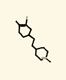 CC1=C(F)CC(CCC2CC[SiH](C)CC2)CC1